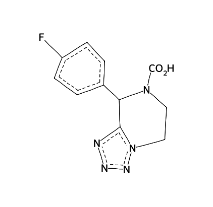 O=C(O)N1CCn2nnnc2C1c1ccc(F)cc1